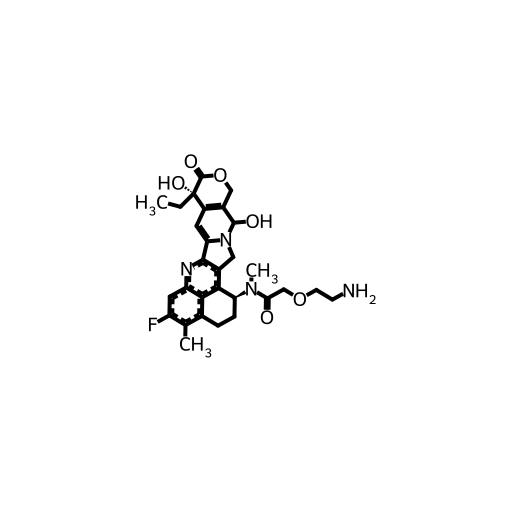 CC[C@@]1(O)C(=O)OCC2=C1C=C1c3nc4cc(F)c(C)c5c4c(c3CN1C2O)[C@@H](N(C)C(=O)COCCN)CC5